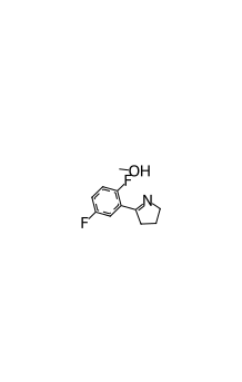 CO.Fc1ccc(F)c(C2=NCCC2)c1